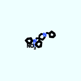 O=[N+]([O-])c1ccccc1NCC1(c2ccccc2)CCN(Cc2ccccc2)CC1